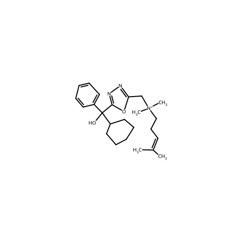 CC(C)=CCC[N+](C)(C)Cc1nnc(C(O)(c2ccccc2)C2CCCCC2)o1